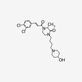 CC1C(=O)N(CCCCN2CCC(O)CC2)CCN1C(=O)C=Cc1ccc(Cl)c(Cl)c1